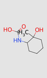 CC1(O)CCCCC1NC(=O)O